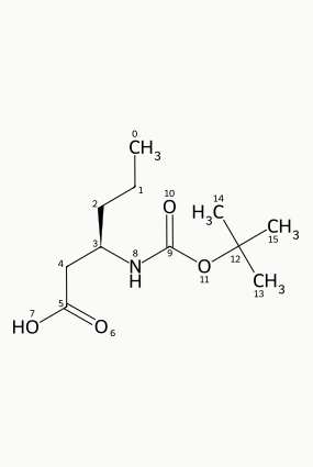 CCC[C@H](CC(=O)O)NC(=O)OC(C)(C)C